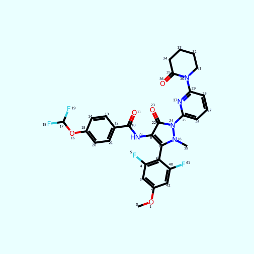 COc1cc(F)c(-c2c(NC(=O)c3ccc(OC(F)F)cc3)c(=O)n(-c3cccc(N4CCCCC4=O)n3)n2C)c(F)c1